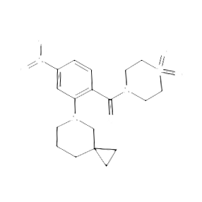 O=C(c1ccc([N+](=O)[O-])cc1N1CCCC2(CC2)C1)N1CCS(=O)(=O)CC1